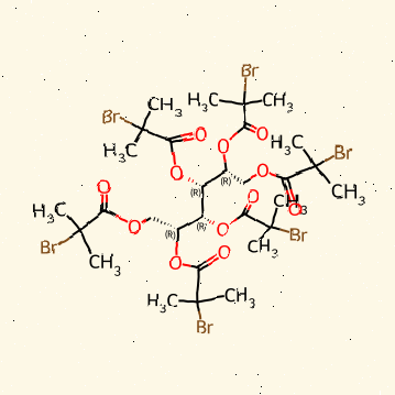 CC(C)(Br)C(=O)OC[C@@H](OC(=O)C(C)(C)Br)[C@@H](OC(=O)C(C)(C)Br)[C@H](OC(=O)C(C)(C)Br)[C@@H](COC(=O)C(C)(C)Br)OC(=O)C(C)(C)Br